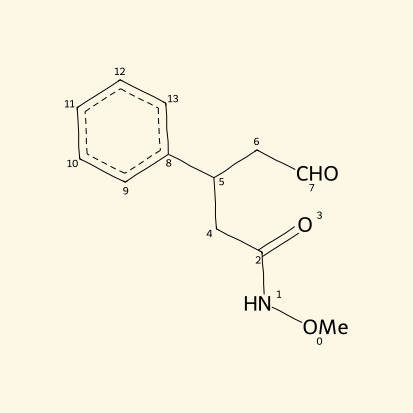 CONC(=O)CC(CC=O)c1ccccc1